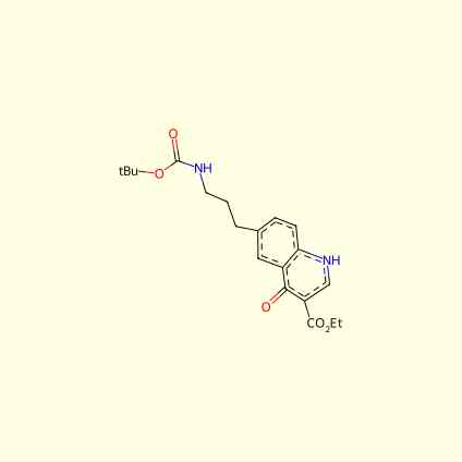 CCOC(=O)c1c[nH]c2ccc(CCCNC(=O)OC(C)(C)C)cc2c1=O